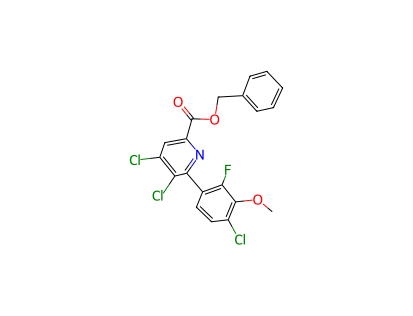 COc1c(Cl)ccc(-c2nc(C(=O)OCc3ccccc3)cc(Cl)c2Cl)c1F